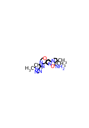 CC(C)n1ncnc1-c1cn2c(n1)-c1cnc(N3CCC(C)(C)[C@H]3C(N)=O)cc1OCC2